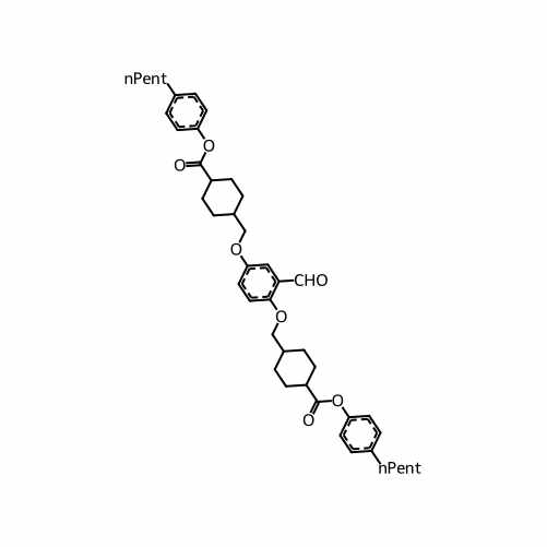 CCCCCc1ccc(OC(=O)C2CCC(COc3ccc(OCC4CCC(C(=O)Oc5ccc(CCCCC)cc5)CC4)c(C=O)c3)CC2)cc1